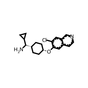 NC(C1CC1)[C@H]1CC[C@@H](Oc2cc3ccncc3cc2Cl)CC1